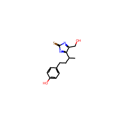 CC(CCc1ccc(O)cc1)C1=NC(=S)N=C1CO